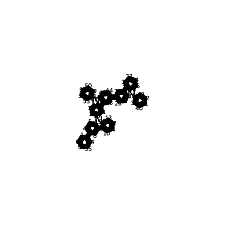 C1=CC(c2ccc3c(c2)c2ccccc2n3-c2ccc3c(c2)c2cc(-c4ccc5c(c4)c4ccccc4n5-c4ccccc4)ccc2n3-c2ccccc2)=CCC1